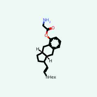 CCCCCC/C=C/C1CC[C@@H]2Cc3c(cccc3OC(=O)CN)C[C@H]12